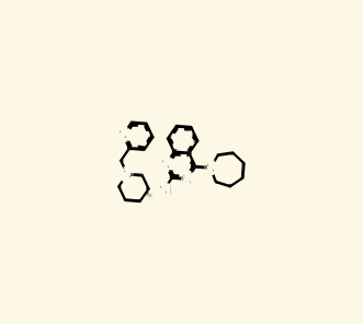 c1ccc(CN2CCC[C@@H](Nc3nc(N4CCCCCC4)c4ccccc4n3)C2)nc1